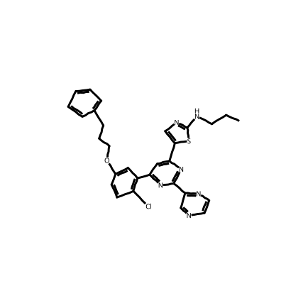 CCCNc1ncc(-c2cc(-c3cc(OCCCc4ccccc4)ccc3Cl)nc(-c3cnccn3)n2)s1